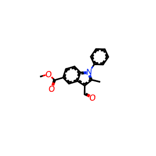 COC(=O)c1ccc2c(c1)c(C=O)c(C)n2-c1ccccc1